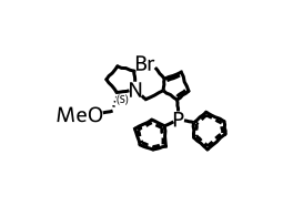 COC[C@@H]1CCCN1CC1C(Br)=CC=C1P(c1ccccc1)c1ccccc1